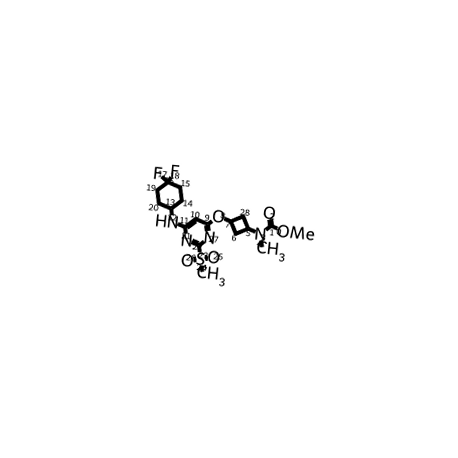 COC(=O)N(C)C1CC(Oc2cc(NC3CCC(F)(F)CC3)nc(S(C)(=O)=O)n2)C1